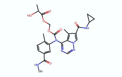 CCCNC(=O)c1ccc(C)c(N(C(=O)OCOC(=O)C(C)O)c2ncnn3cc(C(=O)NC4CC4)c(C)c23)c1